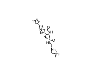 Cn1cc(-c2cn3nc4c5ncc(C(=O)NCCN6CCC(F)(F)CC6)cc5[nH]c(=O)c4c3s2)cn1